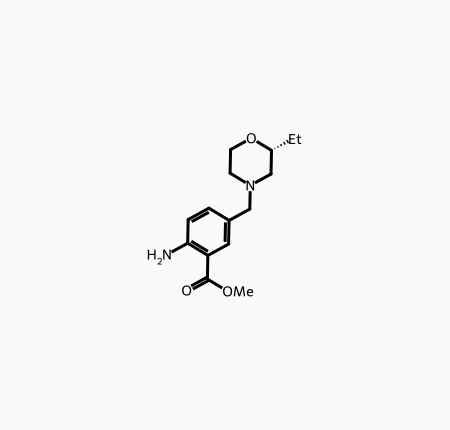 CC[C@@H]1CN(Cc2ccc(N)c(C(=O)OC)c2)CCO1